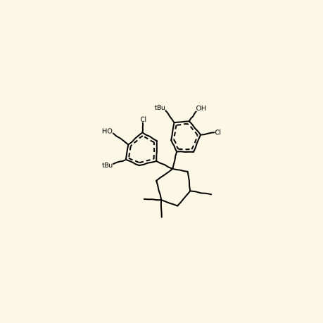 CC1CC(C)(C)CC(c2cc(Cl)c(O)c(C(C)(C)C)c2)(c2cc(Cl)c(O)c(C(C)(C)C)c2)C1